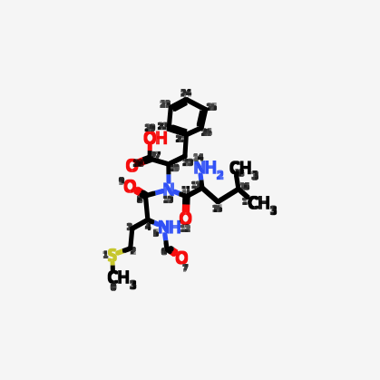 CSCCC(NC=O)C(=O)N(C(=O)C(N)CC(C)C)C(Cc1ccccc1)C(=O)O